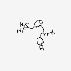 CC(C)CN1CCOC(CC(C)CC2CCNCC2)C1